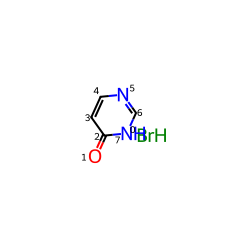 Br.O=c1ccnc[nH]1